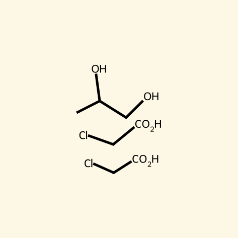 CC(O)CO.O=C(O)CCl.O=C(O)CCl